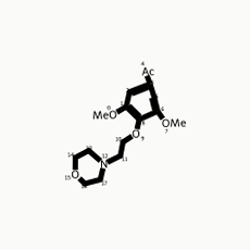 COc1cc(C(C)=O)cc(OC)c1OCCN1CCOCC1